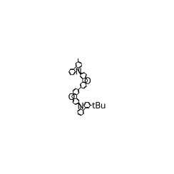 Cc1ccc2c(c1)c1ccccc1n2-c1ccc2oc3ccc(-c4ccc5oc6ccc(-n7c8ccccc8c8cc(C(C)(C)C)ccc87)cc6c5c4)cc3c2c1